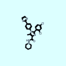 Cc1c(C(=O)NN2CCCCC2)nc(-c2ccc(Cl)cc2Cl)n1-c1ccc(-c2nccs2)cc1